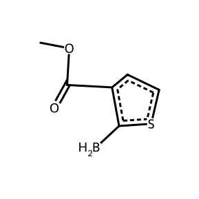 Bc1sccc1C(=O)OC